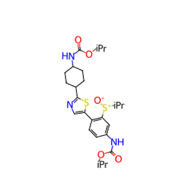 CC(C)OC(=O)Nc1ccc(-c2cnc(C3CCC(NC(=O)OC(C)C)CC3)s2)c([S+]([O-])C(C)C)c1